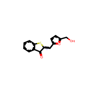 O=C1/C(=C/c2ccc(CO)o2)Sc2ccccc21